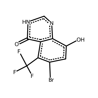 O=c1[nH]cnc2c(O)cc(Br)c(C(F)(F)F)c12